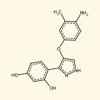 Cc1cc(Oc2c[nH]nc2-c2ccc(O)cc2O)ccc1N